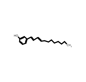 CCCCCCCCC=CC=Cc1cccc(O)c1